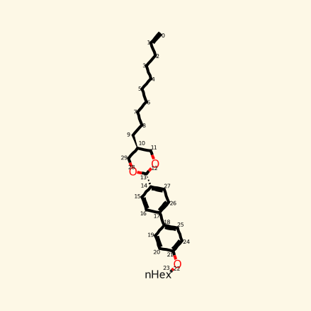 C=CCCCCCCCC[C@H]1CO[C@H](c2ccc(-c3ccc(OCCCCCC)cc3)cc2)OC1